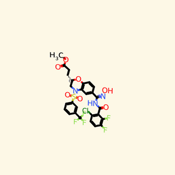 COC(=O)CC[C@H]1CN(S(=O)(=O)c2cccc(C(F)(F)F)c2)c2cc(/C(=N\O)NC(=O)c3c(Cl)ccc(F)c3F)ccc2O1